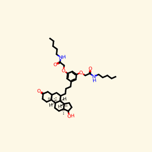 CCCCCNC(=O)COc1cc(CCCC2CC3CC(=O)CC[C@]3(C)[C@@H]3CC[C@]4(C)C(O)CC[C@H]4[C@H]23)cc(OCC(=O)NCCCCC)c1